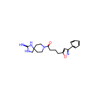 N=C1NCC2(CCN(C(=O)CCCc3cc(-c4ccccc4)no3)CC2)N1